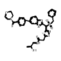 CC(O)CNC(=O)Cc1nnc(C(c2nc3ccc(-c4ccc(C(=O)N5CCOCC5)cc4)cc3s2)S(=O)(=O)Cc2ccccc2)o1